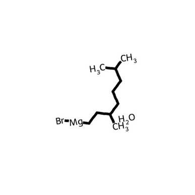 CC(C)CCCC(C)C[CH2][Mg][Br].O